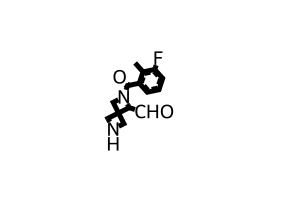 Cc1c(F)cccc1C(=O)N1CC2(CNC2)C1C=O